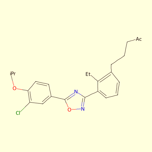 CCc1c(CCCC(C)=O)cccc1-c1noc(-c2ccc(OC(C)C)c(Cl)c2)n1